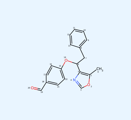 Cc1ocnc1C(Cc1ccccc1)Oc1ccc(C=O)cc1